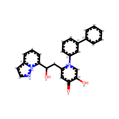 O=c1cc(CC(O)c2cccc3ccnn23)n(-c2cccc(-c3ccccc3)c2)cc1O